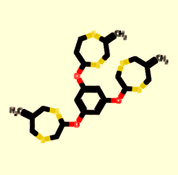 C=C1CSCC(Oc2cc(OC3CCSC(=C)CS3)cc(OC3CSCC(=C)CS3)c2)SC1